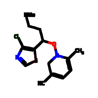 CNCCC(ON1CC(C#N)=CC=C1C)c1scnc1Cl